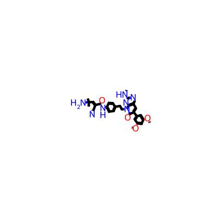 CNc1ncc2cc(-c3cc(OC)cc(OC)c3)c(=O)n(CCc3ccc(NC(=O)/C(C#N)=C/C(C)(C)N)cc3)c2n1